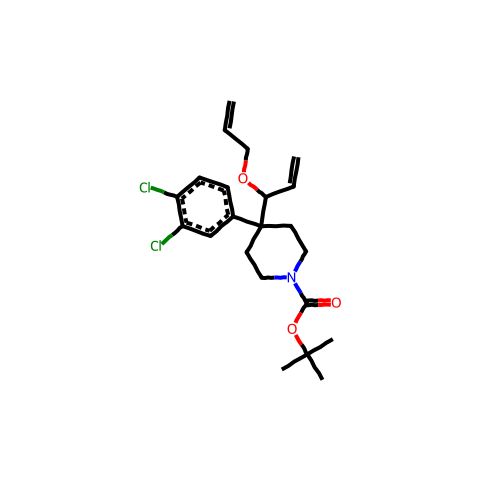 C=CCOC(C=C)C1(c2ccc(Cl)c(Cl)c2)CCN(C(=O)OC(C)(C)C)CC1